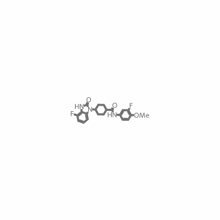 COc1ccc(NC(=O)C2CCC(n3c(=O)[nH]c4c(F)cccc43)CC2)cc1F